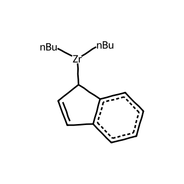 CCC[CH2][Zr]([CH2]CCC)[CH]1C=Cc2ccccc21